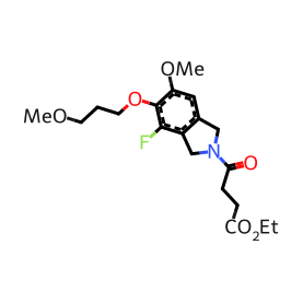 CCOC(=O)CCC(=O)N1Cc2cc(OC)c(OCCCOC)c(F)c2C1